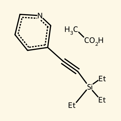 CC(=O)O.CC[Si](C#Cc1cccnc1)(CC)CC